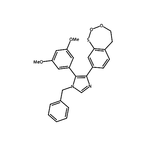 COc1cc(OC)cc(-c2c(-c3ccc4c(c3)SOOCC4)ncn2Cc2ccccc2)c1